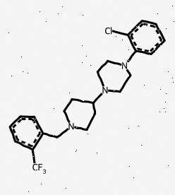 FC(F)(F)c1ccccc1CN1CCC(N2CCN(c3ccccc3Cl)CC2)CC1